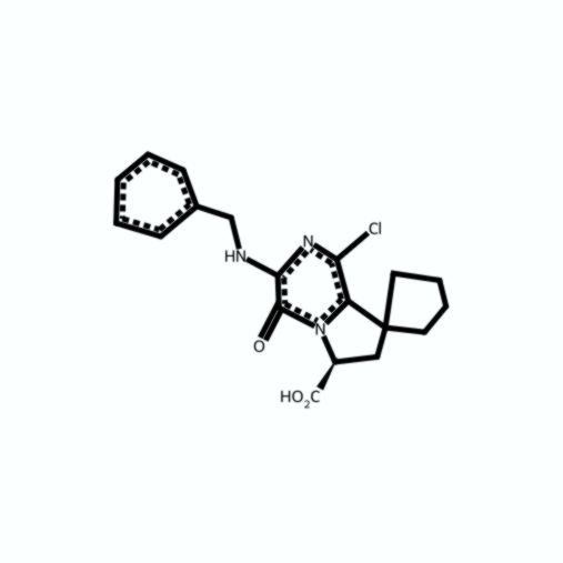 O=C(O)[C@@H]1CC2(CCCC2)c2c(Cl)nc(NCc3ccccc3)c(=O)n21